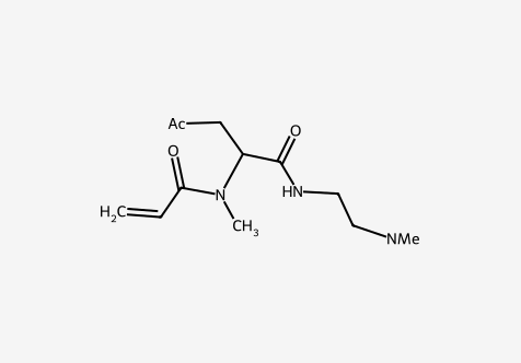 C=CC(=O)N(C)C(CC(C)=O)C(=O)NCCNC